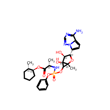 C[C@H](NP(=O)(Oc1ccccc1)OC1[C@@]2(C)O[C@@H](c3ccc4c(N)ncnn34)[C@H](O)[C@@]12O)C(=O)O[C@H]1CCCC[C@@H]1C